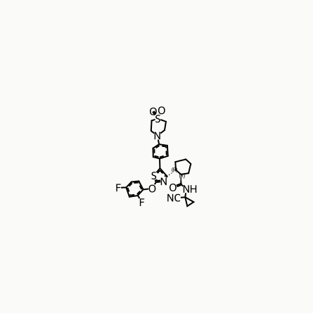 N#CC1(NC(=O)[C@@H]2CCCC[C@H]2c2nc(Oc3ccc(F)cc3F)sc2-c2ccc(N3CCS(=O)(=O)CC3)cc2)CC1